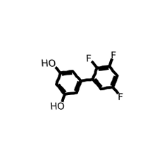 Oc1cc(O)cc(-c2cc(F)cc(F)c2F)c1